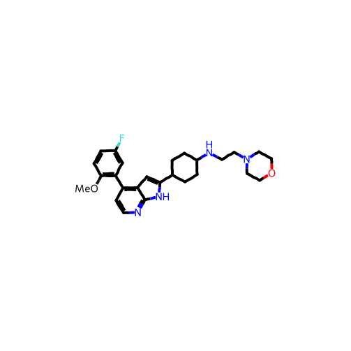 COc1ccc(F)cc1-c1ccnc2[nH]c(C3CCC(NCCN4CCOCC4)CC3)cc12